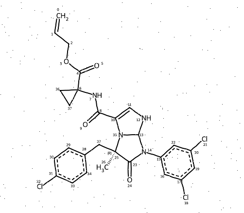 C=CCOC(=O)C1(NC(=O)C2=CNC3N(c4cc(Cl)cc(Cl)c4)C(=O)[C@@](C)(Cc4ccc(Cl)cc4)N23)CC1